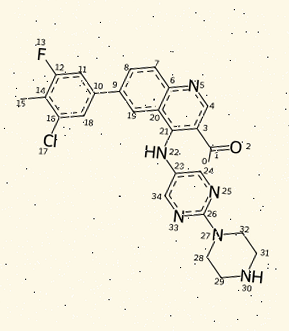 CC(=O)c1cnc2ccc(-c3cc(F)c(C)c(Cl)c3)cc2c1Nc1cnc(N2CCNCC2)nc1